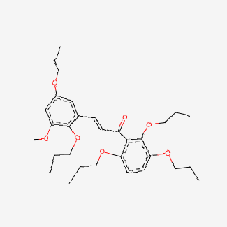 CCCOc1cc(C=CC(=O)c2c(OCCC)ccc(OCCC)c2OCCC)c(OCCC)c(OC)c1